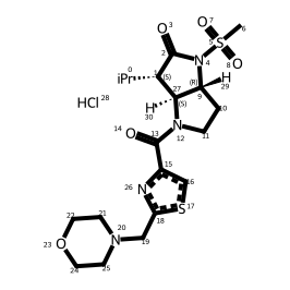 CC(C)[C@@H]1C(=O)N(S(C)(=O)=O)[C@@H]2CCN(C(=O)c3csc(CN4CCOCC4)n3)[C@H]21.Cl